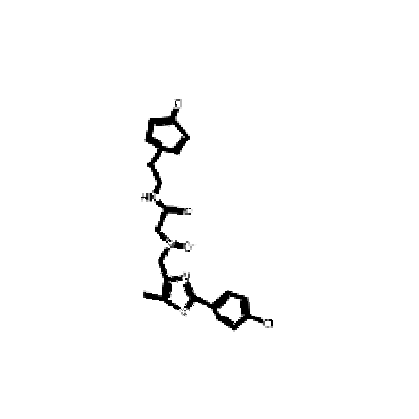 Cc1oc(-c2ccc(Cl)cc2)nc1C[S+]([O-])CC(=O)NCCc1ccc(Cl)cc1